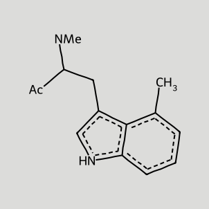 CNC(Cc1c[nH]c2cccc(C)c12)C(C)=O